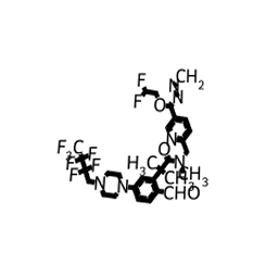 C=N/N=C(\OCC(F)F)c1ccc(CN(C)C(=O)C(C)(C)c2cc(N3CCN(CC(F)(F)C(F)(F)C(F)(F)F)CC3)ccc2C=O)nc1